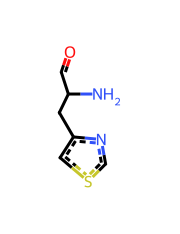 NC(C=O)Cc1cscn1